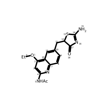 CCOc1cc(NC(C)=O)nc2ccc(CC3SC(N)=NC3=O)cc12